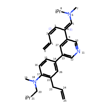 C=C/C=C\C(=C/N(C)C(C)C)c1cncc(-c2ccc(N(C)CC(C)C)c(CC=C)c2)c1